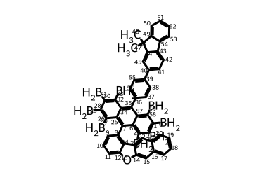 Bc1c(B)c(B)c2c(-c3cccc4oc5cc6ccccc6cc5c34)c3c(B)c(B)c(B)c(B)c3c(-c3ccc(-c4ccc5c(c4)C(C)(C)c4ccccc4-5)cc3)c2c1B